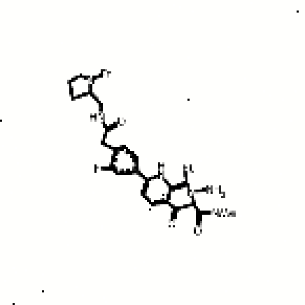 CCC1=C2NC(c3ccc(CC(=O)NCC4CCCN4CC)c(F)c3)=CC=C2C(=O)C(C(=O)NC)N1N